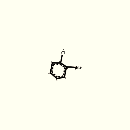 CC[C](C)c1ccccc1Cl